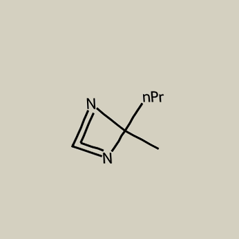 CCCC1(C)N=C=N1